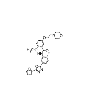 COc1ccc(OCCN2CCOCC2)cc1C(=O)Nc1cc(-c2nnc(-c3ccco3)o2)ccc1F